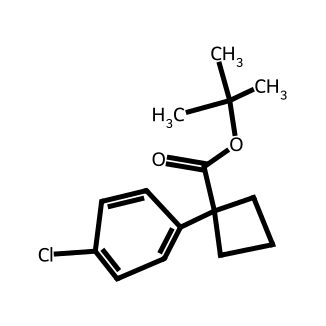 CC(C)(C)OC(=O)C1(c2ccc(Cl)cc2)CCC1